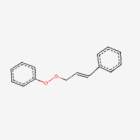 C(=C\c1ccccc1)/COOc1ccccc1